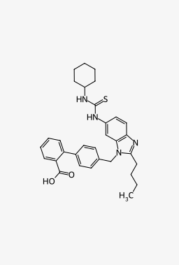 CCCCc1nc2ccc(NC(=S)NC3CCCCC3)cc2n1Cc1ccc(-c2ccccc2C(=O)O)cc1